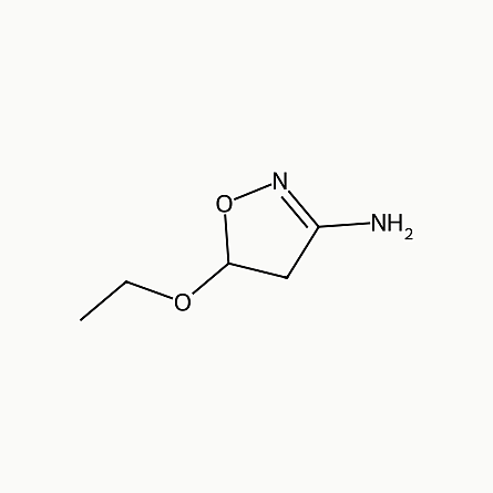 CCOC1CC(N)=NO1